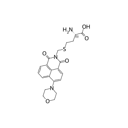 N[C@@H](CCSCN1C(=O)c2cccc3c(N4CCOCC4)ccc(c23)C1=O)C(=O)O